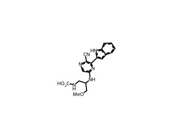 COCC(CNC(=O)O)Nc1cnc(C#N)c(-c2cc3ccccc3[nH]2)n1